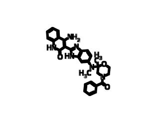 CN(c1ccc2nc(-c3c(N)c4ccccc4[nH]c3=O)[nH]c2c1)C1(C)CN(C(=O)c2ccccc2)CCO1